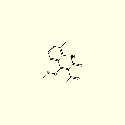 CSOc1c(C(C)=O)c(=O)[nH]c2c(C)cccc12